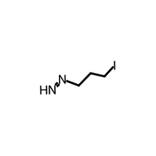 N=NCCCI